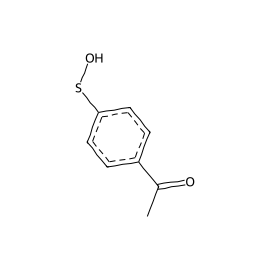 CC(=O)c1ccc(SO)cc1